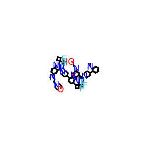 CN(C)c1cc(C2CCC2(c2nc(N3CCC(c4ccccc4N(C)C)CC3)c3cc(N(C)CCO)ccc3n2)C(F)(F)F)ccc1C1CCN(c2nc(C3(C(F)(F)F)CCC3)nc3ccc(N(C)CCN4CCOCC4)cc23)CC1